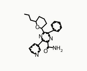 CCCC1CCCC(c2nc(-c3cccnc3)c(C(N)=O)nc2-c2ccccc2)O1